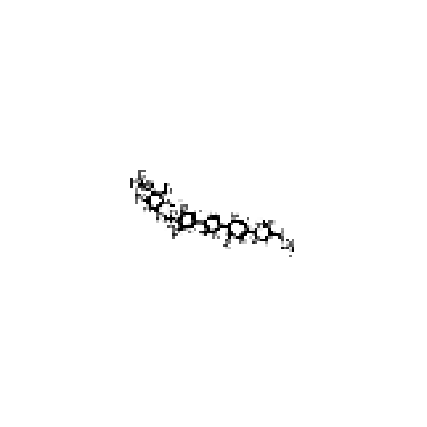 CCOCC1CCC(c2ccc(-c3ccc(-c4cc(F)c(C(F)(F)Oc5cc(F)c(OC(F)(F)F)c(F)c5)c(F)c4)c(F)c3)c(C)c2)OC1